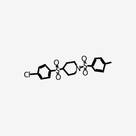 Cc1ccc(S(=O)(=O)N2CCC(S(=O)(=O)c3ccc(Cl)cc3)CC2)cc1